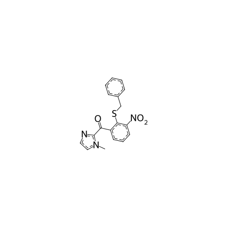 Cn1ccnc1C(=O)c1cccc([N+](=O)[O-])c1SCc1ccccc1